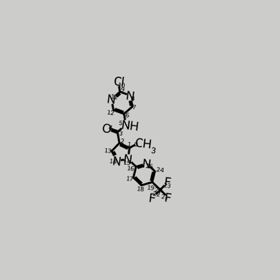 Cc1c(C(=O)Nc2cnc(Cl)nc2)cnn1-c1ccc(C(F)(F)F)cn1